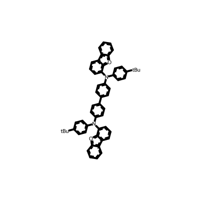 CC(C)(C)c1ccc(N(c2ccc(-c3ccc(N(c4ccc(C(C)(C)C)cc4)c4cccc5c4oc4ccccc45)cc3)cc2)c2cccc3c2oc2ccccc23)cc1